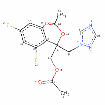 CC(=O)OCC(Cn1cncn1)(OC(C)=O)c1ccc(F)cc1F